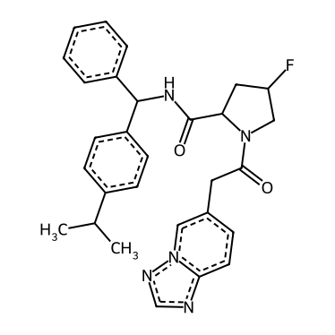 CC(C)c1ccc(C(NC(=O)C2CC(F)CN2C(=O)Cc2ccc3ncnn3c2)c2ccccc2)cc1